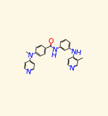 Cc1cnccc1Nc1cccc(NC(=O)c2ccc(N(C)c3ccncc3)cc2)c1